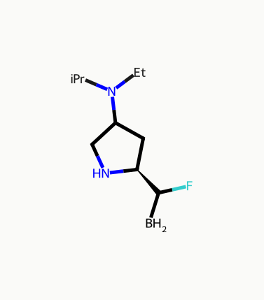 BC(F)[C@@H]1CC(N(CC)C(C)C)CN1